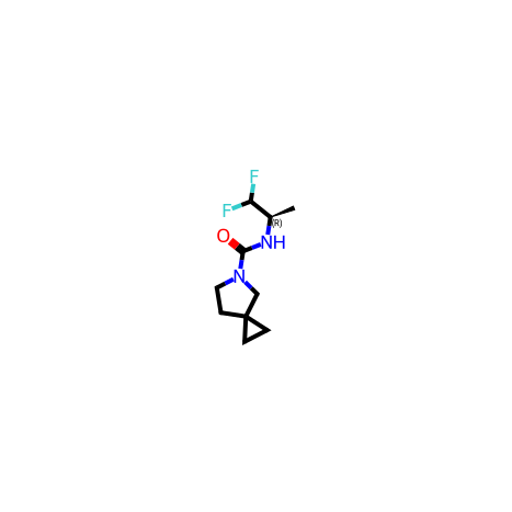 C[C@@H](NC(=O)N1CCC2(CC2)C1)C(F)F